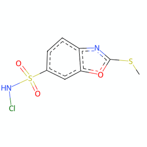 CSc1nc2ccc(S(=O)(=O)NCl)cc2o1